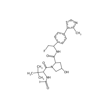 Cc1ncsc1-c1ccc(C(CF)NC(=O)C2CC(O)CN2C(=O)C(NC(=O)I)C(C)(C)C)cc1